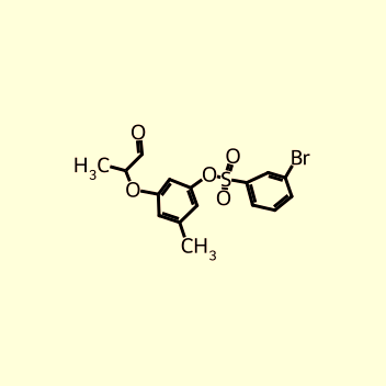 Cc1cc(OC(C)C=O)cc(OS(=O)(=O)c2cccc(Br)c2)c1